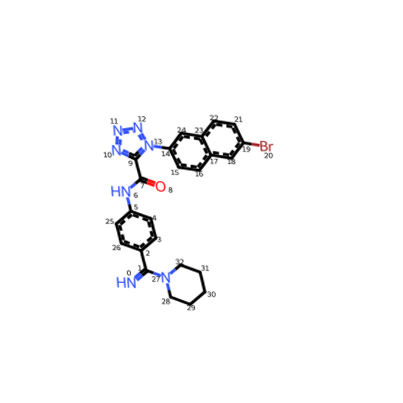 N=C(c1ccc(NC(=O)c2nnnn2-c2ccc3cc(Br)ccc3c2)cc1)N1CCCCC1